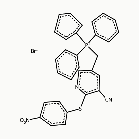 N#Cc1cc(C[P+](c2ccccc2)(c2ccccc2)c2ccccc2)cnc1Sc1ccc([N+](=O)[O-])cc1.[Br-]